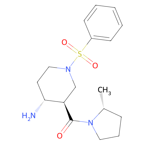 C[C@@H]1CCCN1C(=O)[C@@H]1CN(S(=O)(=O)c2ccccc2)CC[C@H]1N